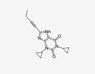 CCC#Cc1nc2c([nH]1)c(=O)n(C1CC1)c(=O)n2C1CC1